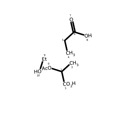 CC(=O)OC(C)C(=O)O.CCC(=O)O.CCO